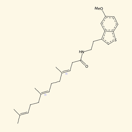 COc1ccc2scc(CCNC(=O)C/C=C(\C)CC/C=C(\C)CCC=C(C)C)c2c1